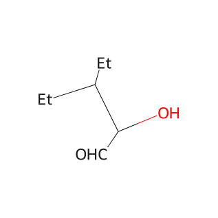 CCC(CC)C(O)C=O